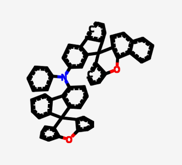 c1ccc(N(c2ccc3c(c2)C2(c4ccccc4Oc4c2ccc2ccccc42)c2ccccc2-3)c2cccc3c2-c2ccccc2C32c3ccccc3Oc3ccccc32)cc1